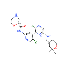 CC1(C)C[C@H](CNc2cnc(Cl)c(-c3cc(NC(=O)[C@H]4CNCCO4)ncc3Cl)n2)CCO1